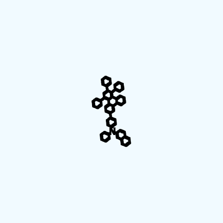 c1ccc(-c2cc(-c3ccccc3)c3c4ccc(-c5ccc(N(c6ccccc6)c6ccc7ccccc7c6)cc5)cc4c4ccccc4c3c2-c2ccccc2)cc1